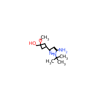 COC1(CO)CC(c2cc(N)n(C(C)(C)C)n2)C1